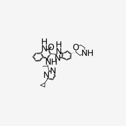 CC(Nc1c(-c2nc3ccc([C@H]4CNCCO4)cc3[nH]2)c(=O)[nH]c2ccccc12)c1nccc(C2CC2)n1